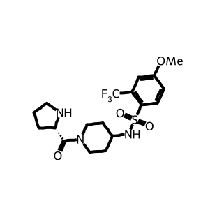 COc1ccc(S(=O)(=O)NC2CCN(C(=O)[C@@H]3CCCN3)CC2)c(C(F)(F)F)c1